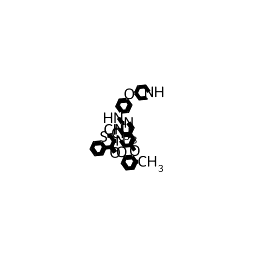 Cc1ccccc1Oc1cc2cnc(Nc3ccc(OC4CCNCC4)cc3)nc2n(C2C(=O)c3ccccc3SC2(C)C)c1=O